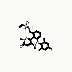 C=CS(=O)(=O)NCc1cccc(Oc2c(C)cc(F)cc2C)c1-c1nn(C)c(=O)cc1OC